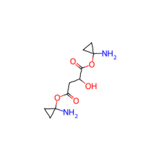 NC1(OC(=O)CC(O)C(=O)OC2(N)CC2)CC1